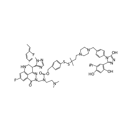 C=C(/C=C\C(F)=C/C)[C@H]1Nc2cc(F)cc3c(=O)n(CN(CCN(C)C)C(=O)OCc4ccc(SSC(C)(C)CCN5CCN(Cc6ccc(-n7c(O)nnc7-c7cc(C(C)C)c(O)cc7O)cc6)CC5)cc4)nc(c23)[C@@H]1c1ncnn1C